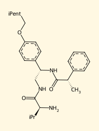 CCCC(C)COc1ccc([C@@H](CNC(=O)[C@@H](N)C(C)C)NC(=O)[C@@H](C)c2ccccc2)cc1